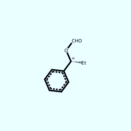 CC[C@@H](OC=O)c1ccccc1